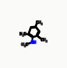 [CH2]Nc1c(C)cc(C)cc1C